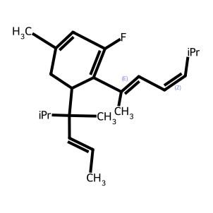 CC=CC(C)(C(C)C)C1CC(C)=CC(F)=C1/C(C)=C/C=C\C(C)C